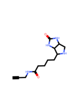 C#CCNC(=O)CCCCC1NCC2NC(=O)NC12